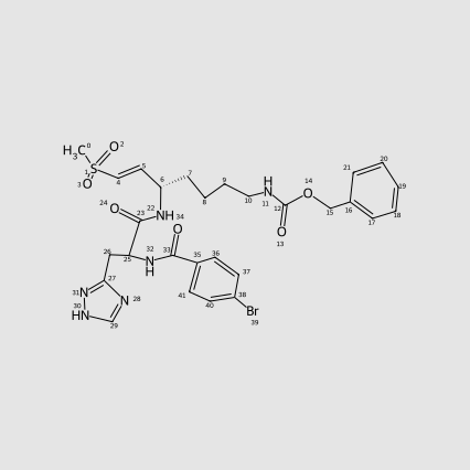 CS(=O)(=O)/C=C/[C@H](CCCCNC(=O)OCc1ccccc1)NC(=O)C(Cc1nc[nH]n1)NC(=O)c1ccc(Br)cc1